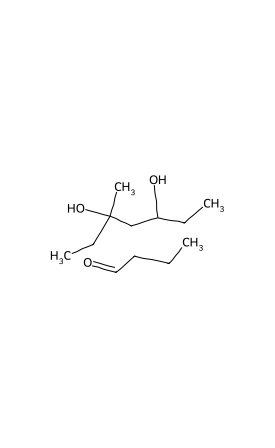 CCC(O)CC(C)(O)CC.CCCC=O